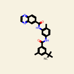 Cc1cc(C(=O)Nc2ccc(C)c(NC(=O)c3ccc4nccnc4c3)c2)cc(C(C)(C)C#N)c1